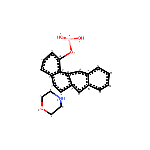 C1COCCN1.OB(O)Oc1cccc2ccc3cc4ccccc4cc3c12